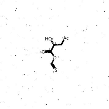 CC(=O)CC(O)C(=O)OC=S